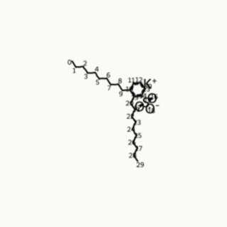 CCCCCCCCCCc1cccc(S(=O)(=O)[O-])c1CCCCCCCCCC.[K+]